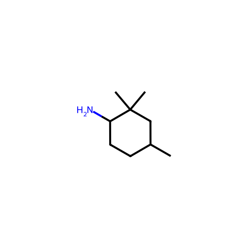 CC1CCC(N)C(C)(C)C1